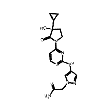 N#C[C@@]1(C2CC2)CCN(c2ccnc(Nc3cnn(CC(N)=O)c3)n2)C1=O